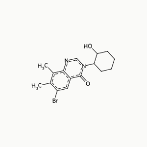 Cc1c(Br)cc2c(=O)n(C3CCCCC3O)cnc2c1C